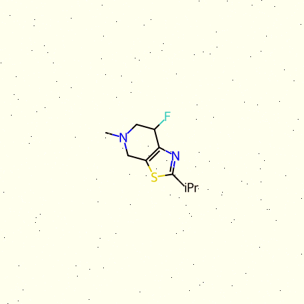 CC(C)c1nc2c(s1)CN(C)CC2F